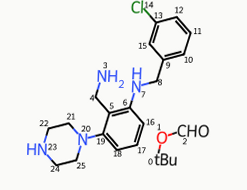 CC(C)(C)OC=O.NCc1c(NCc2cccc(Cl)c2)cccc1N1CCNCC1